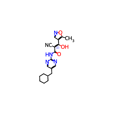 Cc1oncc1/C(O)=C(\C#N)C(=O)Nc1ncc(CC2CCCCC2)cn1